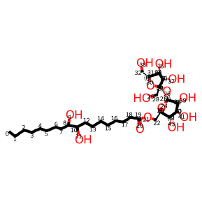 CCCCCCCCC(O)C(O)CCCCCCCC(=O)OC[C@H]1O[C@H](O[C@]2(CO)O[C@H](CO)[C@@H](O)[C@@H]2O)[C@H](O)[C@@H](O)[C@@H]1O